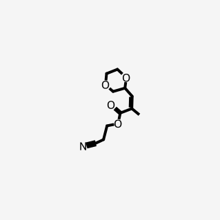 CC(=CC1COCCO1)C(=O)OCCC#N